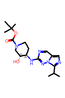 CC(C)c1ncc2cnc(N[C@@H]3CCN(C(=O)OC(C)(C)C)C[C@H]3O)nn12